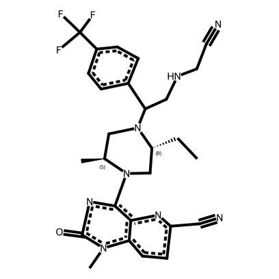 CC[C@@H]1CN(c2nc(=O)n(C)c3ccc(C#N)nc23)[C@@H](C)CN1C(CNCC#N)c1ccc(C(F)(F)F)cc1